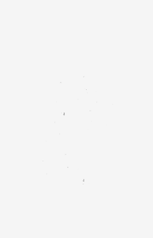 NC(=O)c1cccc(SCC(=O)NC[C@H]2CN(CC3C=C(Cl)C(Cl)=CC3)CCO2)c1